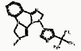 CC(C)(C)c1cn(N2CN=C3c4ccccc4N4CN(F)C=C4N32)nn1